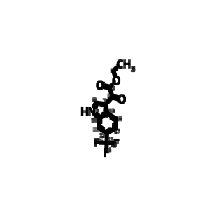 CCOC(=O)C(=O)c1c[nH]c2cc(C(F)(F)F)ccc12